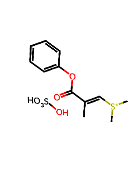 CC(=C[S+](C)C)C(=O)Oc1ccccc1.O=S(=O)(O)O